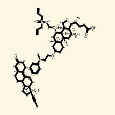 C=CCP(=O)(CC=C)OCO[C@@H]1C[C@@H]2C[C@@H](OCCN(C)c3ccc([C@@H]4C[C@@]5(C)C(CC[C@]5(O)C#CC)C5CCC6=CC(=O)CCC6=C54)cc3)CC[C@]2(C)[C@H]2C[C@H](O)[C@]3(C)[C@@H]([C@H](C)CCC(=O)O)CC[C@H]3[C@H]12